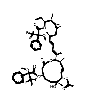 CC[C@H](OC(=O)C(OC)(c1ccccc1)C(F)(F)F)[C@@H](C)[C@H]1OC1C[C@H](C)/C=C/C=C(\C)[C@H]1OC(=O)C[C@H](OC(=O)C(OC)(c2ccccc2)C(F)(F)F)CC[C@@](C)(O)[C@@H](OC(C)=O)/C=C/[C@@H]1C